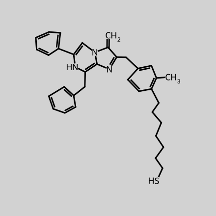 C=c1c(Cc2ccc(CCCCCCCS)c(C)c2)nc2n1C=C(c1ccccc1)NC=2Cc1ccccc1